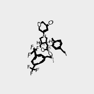 Cc1ccc(I)cc1[C@@H]1[C@@H](O[C@H](C)c2cc(C(F)(F)F)cc(C(F)(F)F)c2)OC[C@@H]2CN(C3=CC(=O)COC3)C[C@H]21